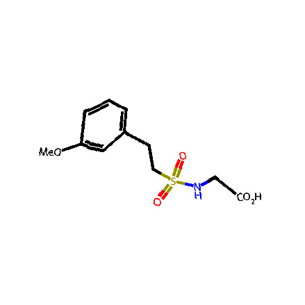 COc1cccc(CCS(=O)(=O)NCC(=O)O)c1